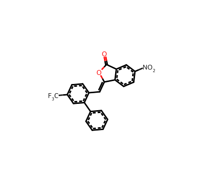 O=C1O/C(=C\c2ccc(C(F)(F)F)cc2-c2ccccc2)c2ccc([N+](=O)[O-])cc21